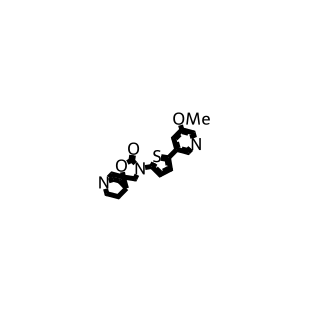 COc1cncc(-c2ccc(N3CC4(CN5CCC4CC5)OC3=O)s2)c1